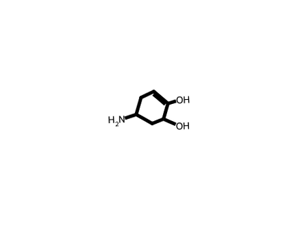 NC1CC=C(O)C(O)C1